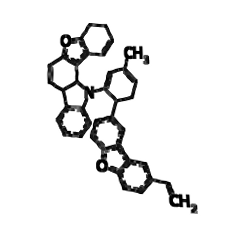 C=Cc1ccc2oc3ccc(C4CC=C(C)C=C4N4c5ccccc5C5C=Cc6oc7c(c6C54)C=CCC7)cc3c2c1